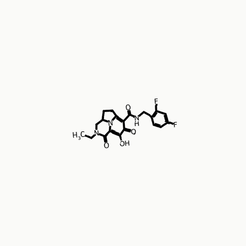 CCN1CC2CCc3c(C(=O)NCc4ccc(F)cc4F)c(=O)c(O)c(n32)C1=O